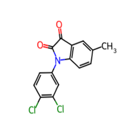 Cc1ccc2c(c1)C(=O)C(=O)N2c1ccc(Cl)c(Cl)c1